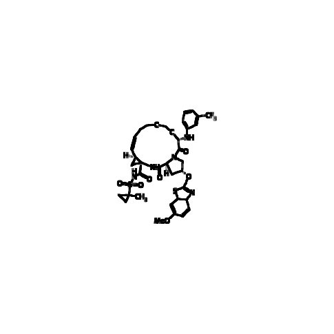 COC1=CC2SC(O[C@@H]3C[C@H]4C(=O)N[C@]5(C(=O)NS(=O)(=O)C6(C)CC6)C[C@H]5/C=C\CCCCC[C@H](Nc5cccc(C(F)(F)F)c5)C(=O)N4C3)=NC2C=C1